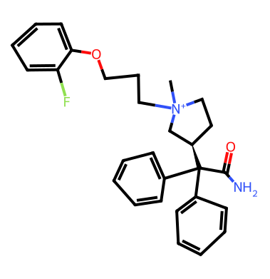 C[N+]1(CCCOc2ccccc2F)CC[C@@H](C(C(N)=O)(c2ccccc2)c2ccccc2)C1